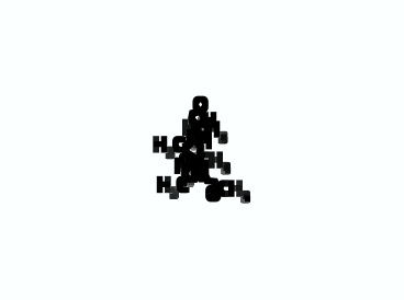 CC(=O)CCCN1C[C@@H](C)C[C@H]2O[C@]3(CC[C@@H]4C(=C(C)C3)C[C@H]3[C@H]4CC[C@@H]4CC(=O)CC[C@@]43C)[C@H](C)[C@@H]21